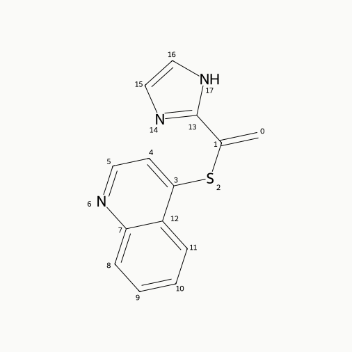 C=C(Sc1ccnc2ccccc12)c1ncc[nH]1